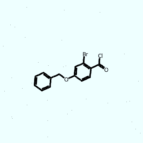 O=C(Cl)c1ccc(OCc2ccccc2)cc1Br